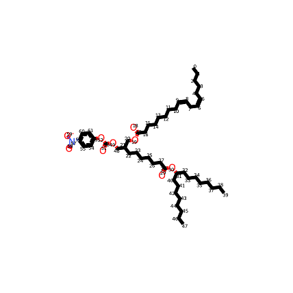 CCCCC/C=C\C/C=C\CCCCCCCC(=O)OCC(CCCCCCC(=O)OC(CCCCCCCC)CCCCCCCC)COC(=O)Oc1ccc([N+](=O)[O-])cc1